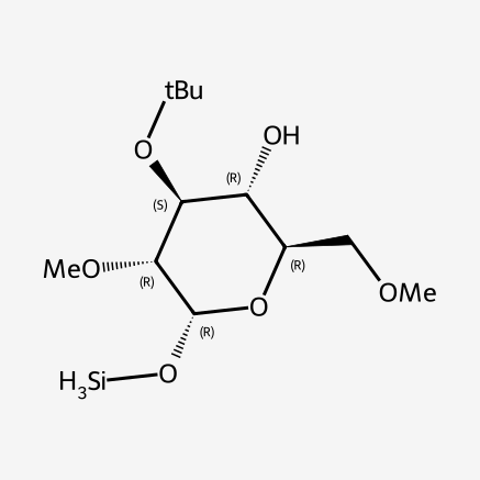 COC[C@H]1O[C@H](O[SiH3])[C@H](OC)[C@@H](OC(C)(C)C)[C@@H]1O